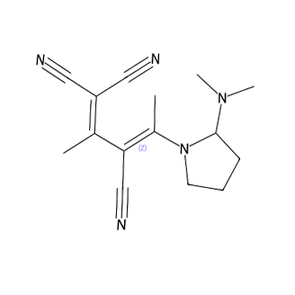 CC(=C(C#N)C#N)/C(C#N)=C(\C)N1CCCC1N(C)C